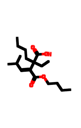 CCCCOC(=O)C(=CC(C)C)C(CC)(CCCC)C(=O)O